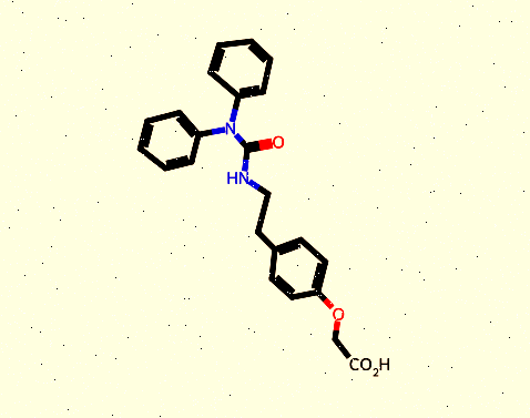 O=C(O)COc1ccc(CCNC(=O)N(c2ccccc2)c2ccccc2)cc1